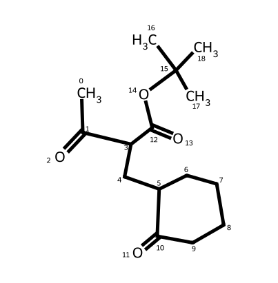 CC(=O)C(CC1CCCCC1=O)C(=O)OC(C)(C)C